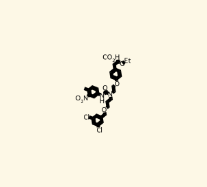 CCOC(Cc1ccc(OCCN(CCCOCc2cc(Cl)cc(Cl)c2)C(=O)Nc2ccc(C)c([N+](=O)[O-])c2)cc1)C(=O)O